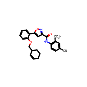 N#Cc1ccc(NC(=O)c2cc(-c3ccccc3OCC3C=CCCC3)on2)c(C(=O)O)c1